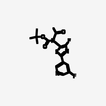 CC(=O)N(C(=O)OC(C)(C)C)c1sc(-c2cncc(F)c2)nc1F